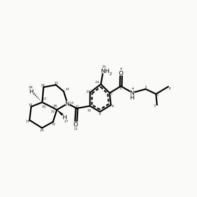 CC(C)CNC(=O)c1ccc(C(=O)N2CCC[C@@H]3CCCC[C@H]32)cc1N